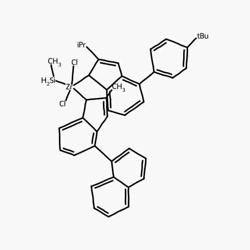 C[SiH2][Zr]([Cl])([Cl])([CH]1C(C(C)C)=Cc2c(-c3ccc(C(C)(C)C)cc3)cccc21)[CH]1C(C)=Cc2c(-c3cccc4ccccc34)cccc21